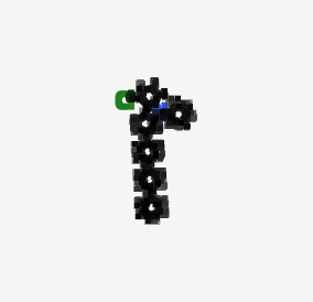 Clc1cccc2c1c1ccc(-c3ccc(-c4ccc(-c5ccccc5)cc4)cc3)cc1n2-c1ccccc1